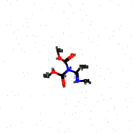 C/N=C(\NC)N(C(=O)OC(C)(C)C)C(=O)OC(C)(C)C